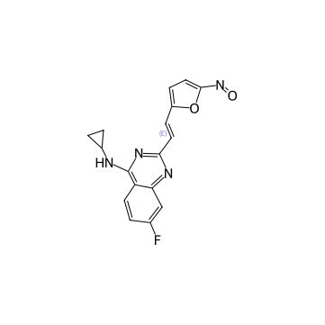 O=Nc1ccc(/C=C/c2nc(NC3CC3)c3ccc(F)cc3n2)o1